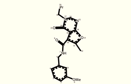 COc1cccc(CNC(=O)c2c(C)oc3ncn(CC(C)C)c(=O)c23)c1